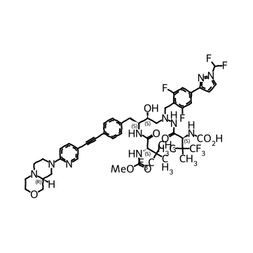 COC(=O)N[C@H](C(=O)N[C@@H](Cc1ccc(C#Cc2ccc(N3CCN4CCOC[C@H]4C3)nc2)cc1)[C@@H](O)CN(Cc1c(F)cc(-c2ccn(C(F)F)n2)cc1F)NC(=O)[C@@H](NC(=O)O)C(C)(C)C(F)(F)F)C(C)(C)C(F)(F)F